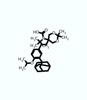 CC(C)Oc1ccc(CCC2(N(C(=O)O)C(C)(C)C)COC(C)(C)OC2)cc1C12CC3CC(CC(C3)C1)C2